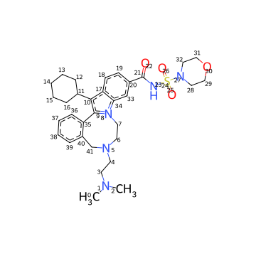 CN(C)CCN1CCn2c(c(C3CCCCC3)c3ccc(C(=O)NS(=O)(=O)N4CCOCC4)cc32)-c2ccccc2C1